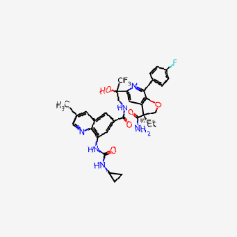 CC[C@]1(C(N)=O)COc2c1cc(C(O)(CNC(=O)c1cc(NC(=O)NC3CC3)c3ncc(C)cc3c1)C(F)(F)F)nc2-c1ccc(F)cc1